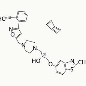 C#Cc1ccccc1-c1cc(CN2CCN(C[C@@H](O)COc3ccc4sc(C)nc4c3)CC2)on1.c1cc2ccc1-2